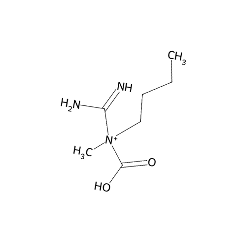 CCCC[N+](C)(C(=N)N)C(=O)O